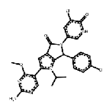 COc1nc(N)ncc1-c1cc2c(n1C(C)C)C(c1ccc(Cl)cc1)N(c1c[nH]c(=O)c(Cl)c1)C2=O